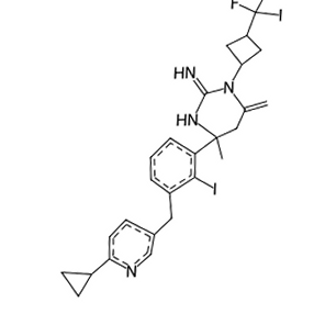 C=C1CC(C)(c2cccc(Cc3ccc(C4CC4)nc3)c2I)NC(=N)N1C1CC(C(C)(F)I)C1